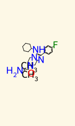 CC(C)(N)C(=O)N1CCn2c(nc(-c3ccc(F)cc3)c2NC2CCCCC2)C1